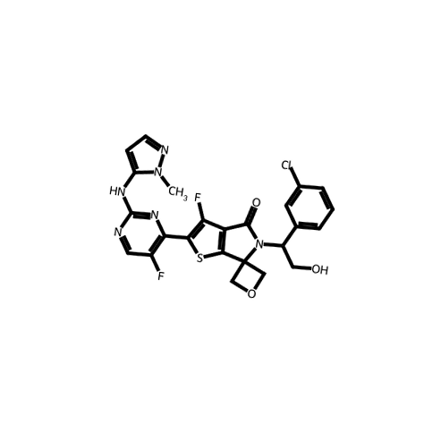 Cn1nccc1Nc1ncc(F)c(-c2sc3c(c2F)C(=O)N(C(CO)c2cccc(Cl)c2)C32COC2)n1